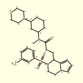 CN(C(=O)CCC1c2cccn2CCN1S(=O)(=O)c1cccc(C(F)(F)F)c1)C1CCCC(N2CCOCC2)C1